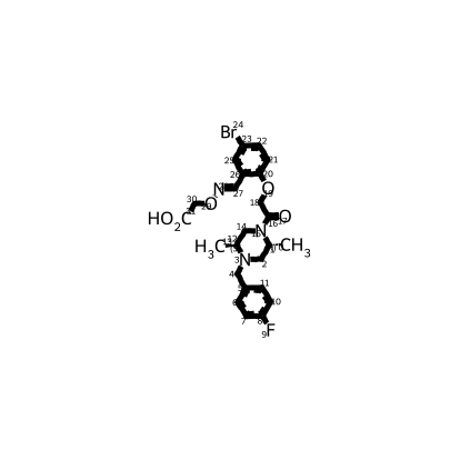 C[C@@H]1CN(Cc2ccc(F)cc2)[C@@H](C)CN1C(=O)COc1ccc(Br)cc1C=NOCC(=O)O